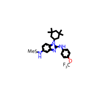 CSNc1ccc2c(c1)nc(Nc1ccc(OC(F)(F)F)cc1)n2C1CC(C)(C)CC(C)(C)C1